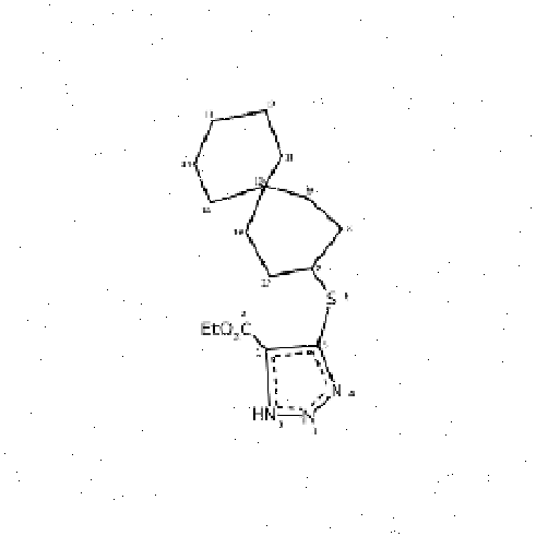 CCOC(=O)c1[nH]nnc1SC1CCC2(CCCCC2)CC1